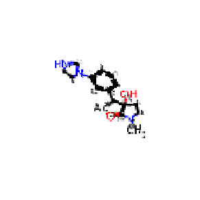 CC(=O)C(c1cccc(N2CCNC2)c1)C1(O)CCN(C)C1=O